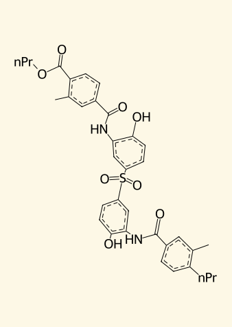 CCCOC(=O)c1ccc(C(=O)Nc2cc(S(=O)(=O)c3ccc(O)c(NC(=O)c4ccc(CCC)c(C)c4)c3)ccc2O)cc1C